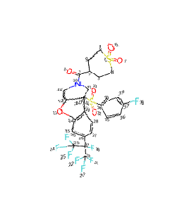 O=C(C1CCS(=O)(=O)CC1)N1CC2Oc3cc(C(F)(C(F)(F)F)C(F)(F)F)ccc3C2(S(=O)(=O)c2ccc(F)cc2)C1